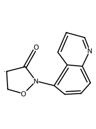 O=C1[CH]CON1c1cccc2ncccc12